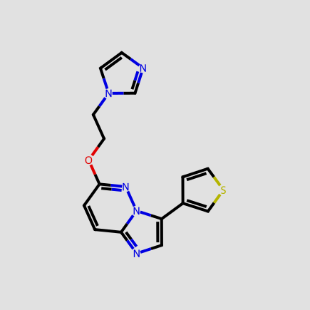 c1cn(CCOc2ccc3ncc(-c4ccsc4)n3n2)cn1